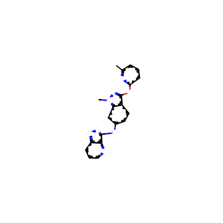 Cc1cccc(Oc2nn(C)c3cc(Nc4n[nH]c5cccnc45)ccc23)n1